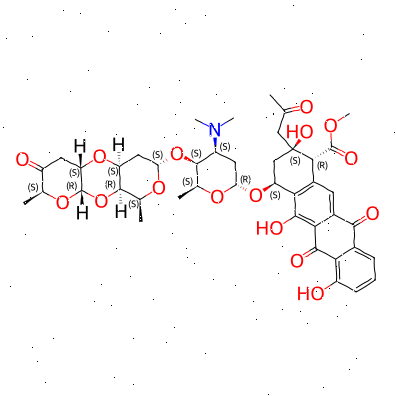 COC(=O)[C@@H]1c2cc3c(c(O)c2[C@@H](O[C@H]2C[C@H](N(C)C)[C@H](O[C@H]4C[C@@H]5O[C@H]6CC(=O)[C@H](C)O[C@H]6O[C@@H]5[C@H](C)O4)[C@H](C)O2)C[C@]1(O)CC(C)=O)C(=O)c1c(O)cccc1C3=O